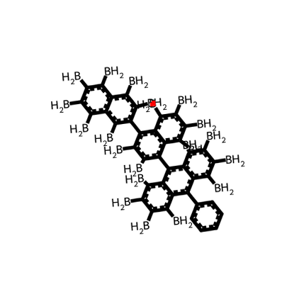 Bc1c(B)c(B)c2c(B)c(-c3c(B)c(B)c(-c4c5c(B)c(B)c(B)c(B)c5c(-c5ccccc5)c5c(B)c(B)c(B)c(B)c45)c4c(B)c(B)c(B)c(B)c34)c(B)c(B)c2c1B